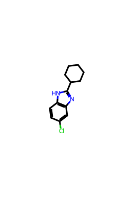 Clc1ccc2[nH]c(C3CCCCC3)nc2c1